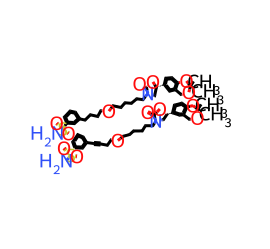 CC1(C)OCc2cc([C@@H]3CN(CCCCCCOCCC#Cc4cccc(S(N)(=O)=O)c4)C(=O)O3)ccc2O1.CC1(C)OCc2cc([C@@H]3CN(CCCCCCOCCCCc4cccc(S(N)(=O)=O)c4)C(=O)O3)ccc2O1